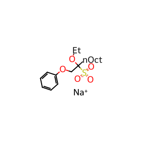 CCCCCCCCC(COc1ccccc1)(OCC)S(=O)(=O)[O-].[Na+]